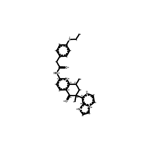 CCSc1ccc(CC(=O)Nc2ccc3c(n2)C(C)CC(C)(c2nccn4ccnc24)C3=O)cc1